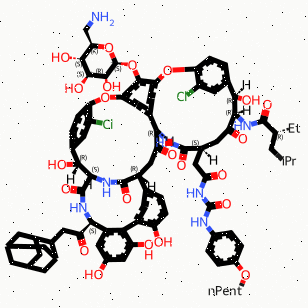 CCCCCOc1ccc(NC(=O)NC(=O)C[C@@H]2CC(=O)[C@H](NC(=O)[C@H](CC)CC(C)C)[C@H](O)c3ccc(c(Cl)c3)Oc3cc4cc(c3O[C@@H]3O[C@H](CN)[C@@H](O)[C@H](O)[C@H]3O)Oc3ccc(cc3Cl)[C@@H](O)[C@@H]3NC(=O)[C@H](CC(=O)[C@@H]4NC2=O)c2ccc(O)c(c2)-c2c(O)cc(O)cc2[C@@H](C(=O)CC2C4CC5CC(C4)CC2C5)NC3=O)cc1